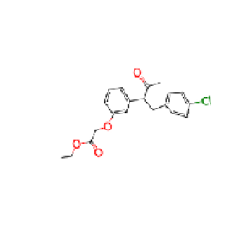 CCOC(=O)COc1cccc(C(Cc2ccc(Cl)cc2)C(C)=O)c1